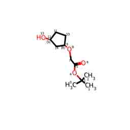 CC(C)(C)OC(=O)CO[C@@H]1CC[C@H](O)C1